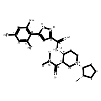 C[C@H]1CCC[C@H]1N1CC[C@@H](NC(=O)c2cc(-c3c(F)cc(F)cc3F)on2)[C@H](C(=O)N(C)C)C1